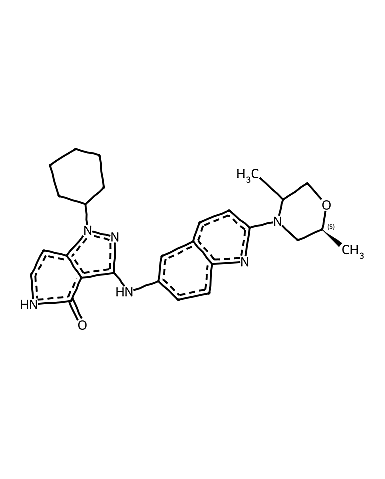 CC1CO[C@@H](C)CN1c1ccc2cc(Nc3nn(C4CCCCC4)c4cc[nH]c(=O)c34)ccc2n1